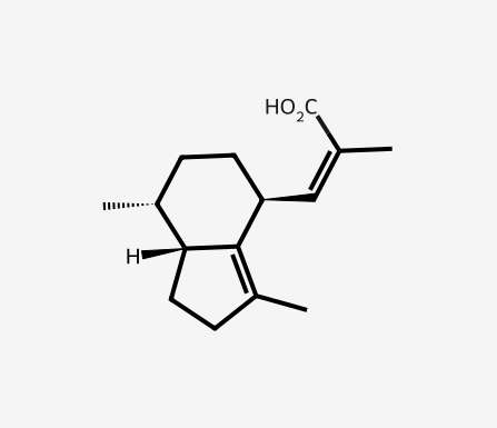 CC1=C2[C@H](/C=C(/C)C(=O)O)CC[C@@H](C)[C@H]2CC1